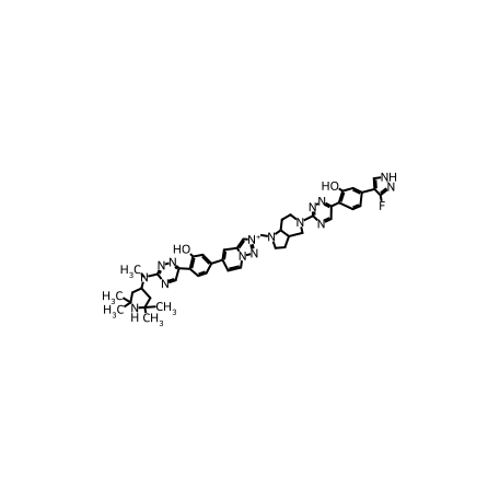 CN(c1ncc(-c2ccc(-c3ccn4n[n+](CN5CCC6CN(c7ncc(-c8ccc(-c9c[nH]nc9F)cc8O)nn7)CCC65)cc4c3)cc2O)nn1)C1CC(C)(C)NC(C)(C)C1